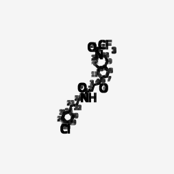 O=C(CCC(=O)c1ccc2c(c1)CCN(C(=O)C(F)(F)F)CC2)NCCCc1ccc(Cl)cc1